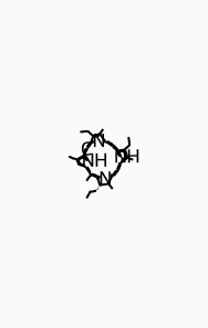 CCC[C@@H]1c2nc(cc3[nH]c(cc4nc(cc5[nH]c(cc5C)c2C)C(CC)=C4C)c(CC)c3C)C1C